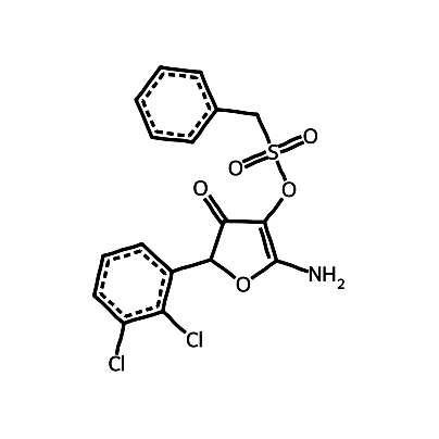 NC1=C(OS(=O)(=O)Cc2ccccc2)C(=O)C(c2cccc(Cl)c2Cl)O1